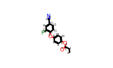 CCC(=O)Oc1ccc(Oc2ccc(C#N)cc2F)cc1